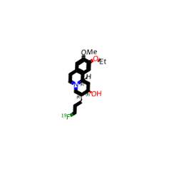 CCOc1cc2c(cc1OC)CCN1C[C@@H](CCC[19F])[C@H](O)C[C@H]21